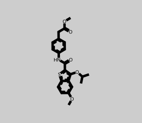 COC(=O)Cc1ccc(NC(=O)c2sc3ccc(OC)cc3c2OC(C)C)cc1